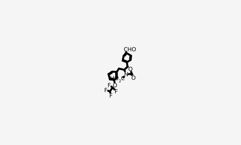 O=Cc1ccc(C2OC(=O)N(C(=O)O)C2Cc2cccc(OC(F)(F)C(F)F)c2)cc1